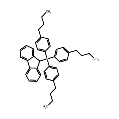 CCCCc1ccc([Si]([C]2c3ccccc3-c3ccccc32)(c2ccc(CCCC)cc2)c2ccc(CCCC)cc2)cc1